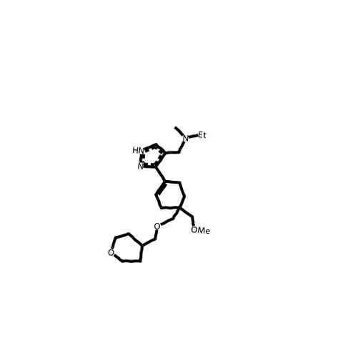 [CH2]CN(C)Cc1c[nH]nc1C1=CCC(COC)(COCC2CCOCC2)CC1